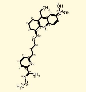 CCc1c2c(nc3ccc([NH+]([O-])O)cc13)/C(=N/OCCCc1cccc(/C(C)=N/OC)n1)CCC2